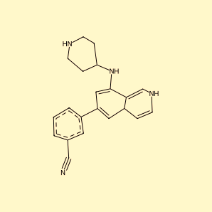 N#Cc1cccc(C2=CC3C=CNC=C3C(NC3CCNCC3)=C2)c1